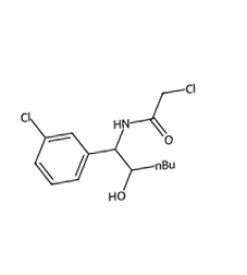 CCCCC(O)C(NC(=O)CCl)c1cccc(Cl)c1